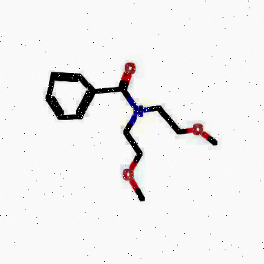 COCCN(CCOC)C(=O)c1ccccc1